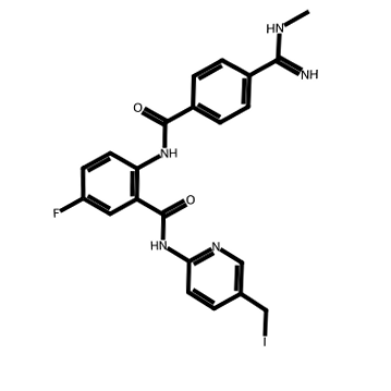 CNC(=N)c1ccc(C(=O)Nc2ccc(F)cc2C(=O)Nc2ccc(CI)cn2)cc1